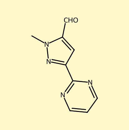 Cn1nc(-c2ncccn2)cc1C=O